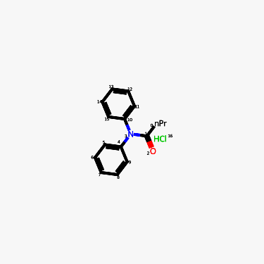 CCCC(=O)N(c1ccccc1)c1ccccc1.Cl